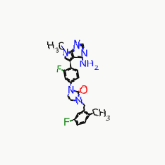 Cc1ccc(F)cc1CN1CCN(c2ccc(-c3cn(C)c4ncnc(N)c34)c(F)c2)C1=O